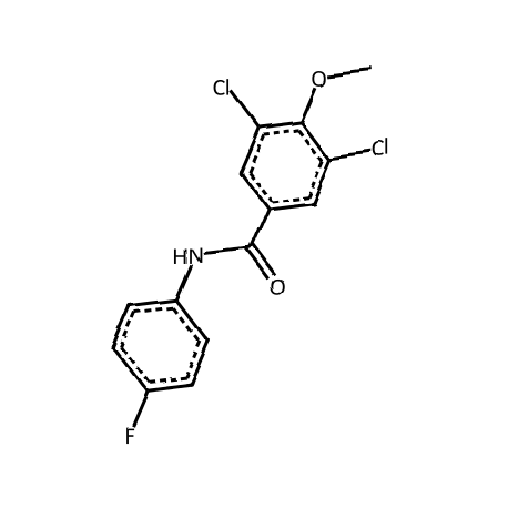 COc1c(Cl)cc(C(=O)Nc2ccc(F)cc2)cc1Cl